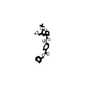 COCC(CC1(C(=O)NC2CCC(C(=O)OCc3ccccc3)CC2)CCCC1)C(=O)OC(C)(C)C